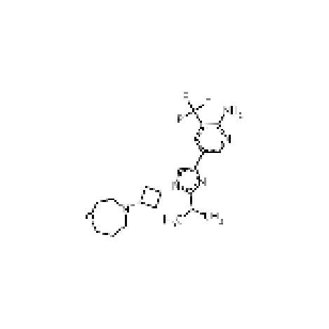 CC(C)c1nc(-c2cnc(N)c(C(F)(F)F)c2)cn1[C@H]1C[C@@H](N2CCCOCC2)C1